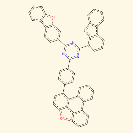 c1ccc2c(c1)oc1cc(-c3nc(-c4ccc(-c5ccc6oc7cccc8c9ccccc9c5c6c78)cc4)nc(-c4cccc5c4sc4ccccc45)n3)ccc12